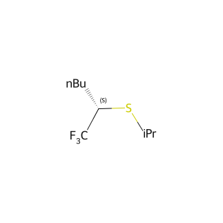 CCCC[C@H](SC(C)C)C(F)(F)F